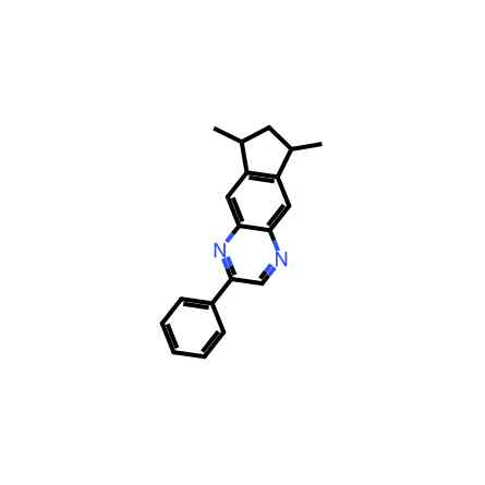 CC1CC(C)c2cc3nc(-c4ccccc4)cnc3cc21